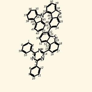 c1ccc(-c2nc(-c3ccccc3)nc(-c3cccc4sc5c(-c6ccc7sc8cccc(-n9c%10ccccc%10c%10ccccc%109)c8c7c6)cccc5c34)n2)cc1